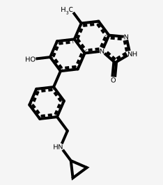 Cc1cc2n[nH]c(=O)n2c2cc(-c3cccc(CNC4CC4)c3)c(O)cc12